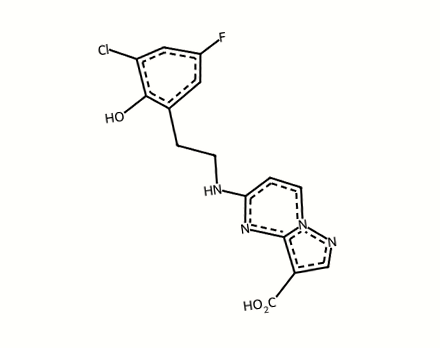 O=C(O)c1cnn2ccc(NCCc3cc(F)cc(Cl)c3O)nc12